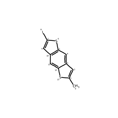 Cc1cc2cc3sc(I)cc3cc2s1